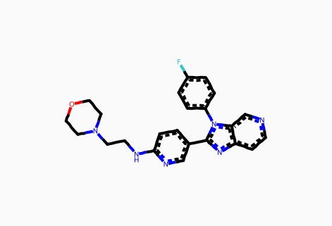 Fc1ccc(-n2c(-c3ccc(NCCN4CCOCC4)nc3)nc3ccncc32)cc1